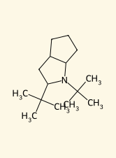 CC(C)(C)C1CC2CCCC2N1C(C)(C)C